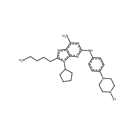 CCN1CCN(c2ccc(Nc3nc(N)c4nc(CCCCN)n(C5CCCC5)c4n3)cc2)CC1